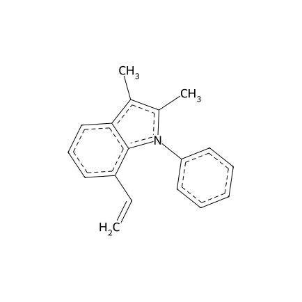 C=Cc1cccc2c(C)c(C)n(-c3ccccc3)c12